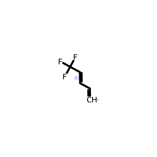 [CH]=C/C=C/C(F)(F)F